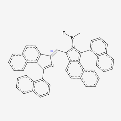 CB(F)n1c(/C=C2\N=C(c3cccc4ccccc34)c3c2ccc2ccccc32)c2ccc3ccccc3c2c1-c1cccc2ccccc12